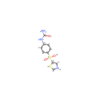 NC(=O)Nc1ccc(S(=O)(=O)c2cncs2)cc1